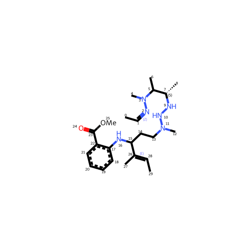 C/C=N\N(C)C(C)[C@H](C)NNN(C)CCC(Nc1ccccc1C(=O)OC)/C(C)=C/C